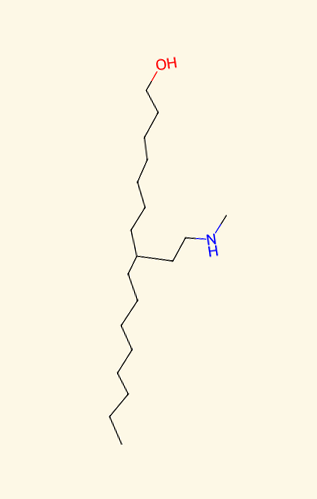 CCCCCCCCC(CCCCCCCO)CCNC